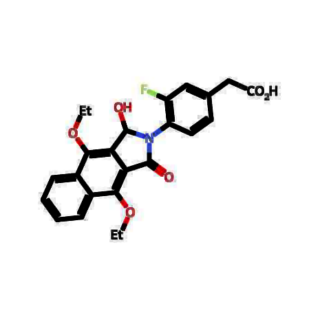 CCOc1c2c(c(OCC)c3ccccc13)C(O)N(c1ccc(CC(=O)O)cc1F)C2=O